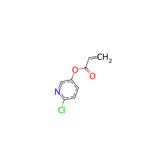 C=CC(=O)Oc1ccc(Cl)nc1